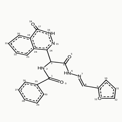 O=C(NC(C(=O)NN=Cc1ccco1)c1n[nH]c(=O)c2ccccc12)c1ccccc1